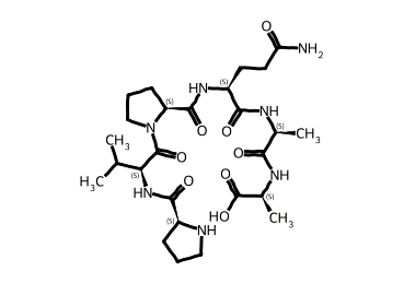 CC(C)[C@H](NC(=O)[C@@H]1CCCN1)C(=O)N1CCC[C@H]1C(=O)N[C@@H](CCC(N)=O)C(=O)N[C@@H](C)C(=O)N[C@@H](C)C(=O)O